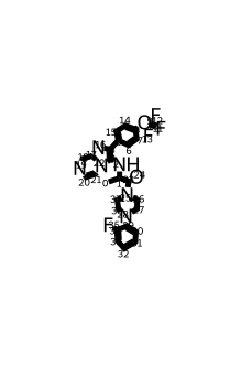 CC(Nc1c(-c2ccc(OC(F)(F)F)cc2)nc2cnccn12)C(=O)N1CCN(c2ccccc2F)CC1